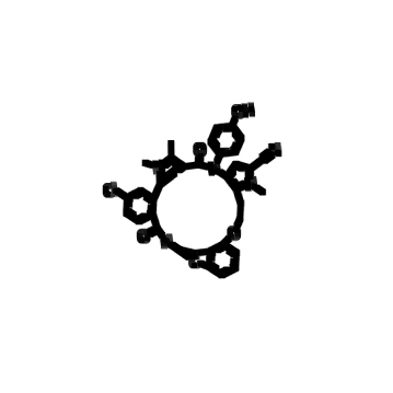 Cc1c2cc(n1C)-c1cc(Cl)ccc1C(=O)N1CCc3c(cccc3OCCc3c(cc(C#N)n3C)N(c3ccc(O)cc3)C2=O)C1